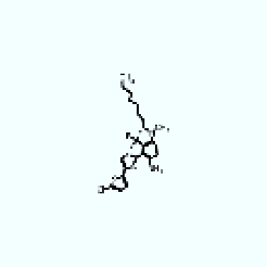 CCCCCCCCN(C)c1ccc(N)c(-c2nc(-c3ccc(Cl)s3)cs2)c1C(F)(F)F